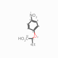 CCC(Oc1ccc([N+](=O)[O-])cc1)C(=O)O